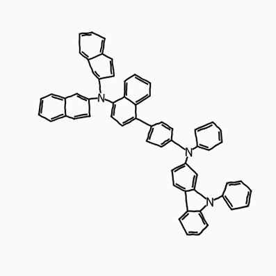 c1ccc(N(c2ccc(-c3ccc(N(c4ccc5ccccc5c4)c4ccc5ccccc5c4)c4ccccc34)cc2)c2ccc3c4ccccc4n(-c4ccccc4)c3c2)cc1